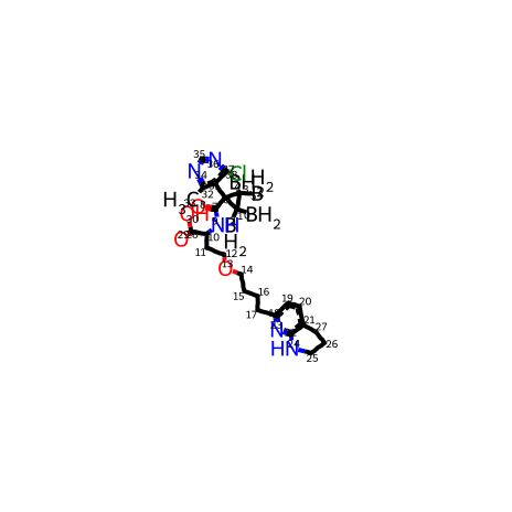 BC1(B)C(B)(B)C1(C(=O)NC(CCOCCCCc1ccc2c(n1)NCCC2)C(=O)O)c1c(C)ncnc1Cl